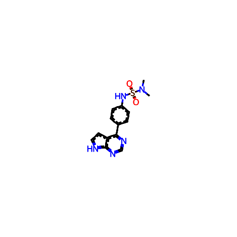 CN(C)S(=O)(=O)Nc1ccc(-c2ncnc3[nH]ccc23)cc1